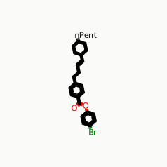 CCCCCC1CCC(C=CCCc2ccc(C(=O)Oc3ccc(Br)cc3)cc2)CC1